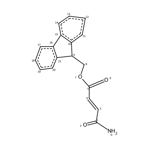 NC(=O)C=CC(=O)OCC1c2ccccc2-c2ccccc21